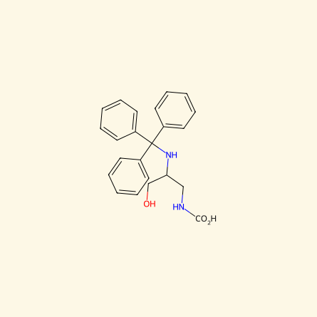 O=C(O)NCC(CO)NC(c1ccccc1)(c1ccccc1)c1ccccc1